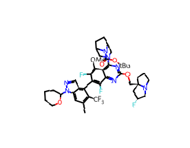 COc1c(F)c(-c2c(C(F)(F)F)c(C)cc3c2cnn3C2CCCCO2)c(F)c2nc(OC[C@@]34CCCN3C[C@H](F)C4)nc(N3CC4CCC(C3)N4C(=O)OC(C)(C)C)c12